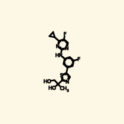 CC(O)(CO)c1ncc(-c2cc(F)cc(Nc3ncc(F)c(C4CC4)n3)c2)s1